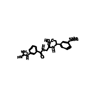 CSc1cccc(C(CC(=O)O)NC(=O)CNC(=O)c2cccc(NC(=N)N)c2)c1